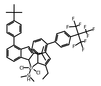 CCC1=Cc2c(-c3ccc(C(C(F)(F)F)(C(F)(F)F)C(F)(F)F)cc3)cccc2[CH]1[Zr]([Cl])([Cl])([CH]1C(C(C)C)=Cc2c(-c3ccc(C(C)(C)C)cc3)cccc21)[SiH](C)C